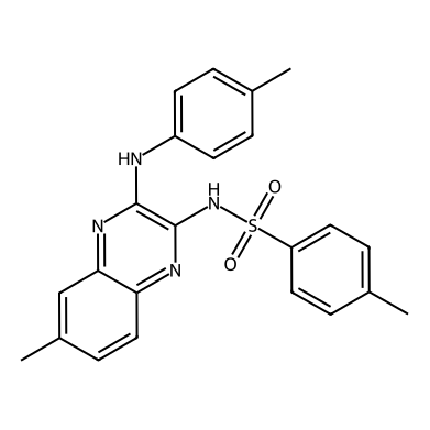 Cc1ccc(Nc2nc3cc(C)ccc3nc2NS(=O)(=O)c2ccc(C)cc2)cc1